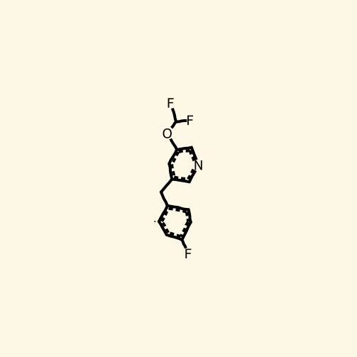 Fc1c[c]c(Cc2cncc(OC(F)F)c2)cc1